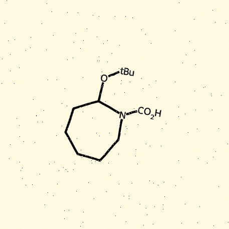 CC(C)(C)OC1CCCCCN1C(=O)O